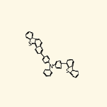 c1ccc(N(c2ccc(-c3ccc4c(ccc5c6ccccc6sc45)c3)cc2)c2ccc(-c3cccc4c3sc3ccccc34)cc2)cc1